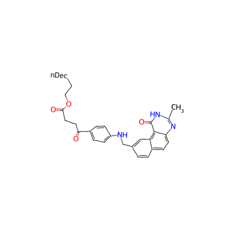 CCCCCCCCCCCCOC(=O)CCC(=O)c1ccc(NCc2ccc3ccc4nc(C)[nH]c(=O)c4c3c2)cc1